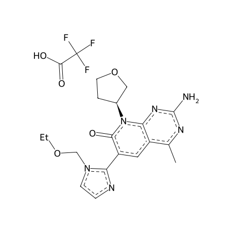 CCOCn1ccnc1-c1cc2c(C)nc(N)nc2n([C@H]2CCOC2)c1=O.O=C(O)C(F)(F)F